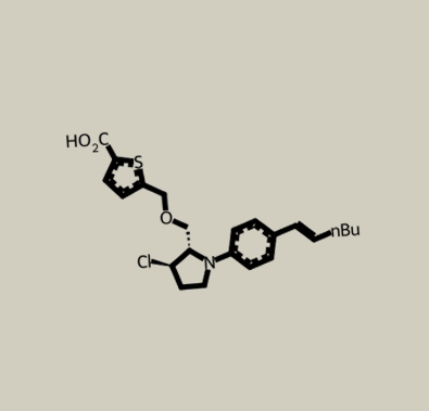 CCCC/C=C/c1ccc(N2CC[C@@H](Cl)[C@@H]2COCc2ccc(C(=O)O)s2)cc1